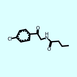 CCCC(=O)NCC(=O)c1ccc(Cl)cc1